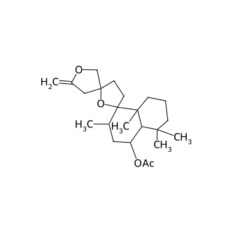 C=C1CC2(CCC3(O2)C(C)CC(OC(C)=O)C2C(C)(C)CCCC23C)CO1